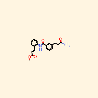 COC(=O)/C=C/c1ccccc1NC(=O)c1cccc(CCC(N)=O)c1